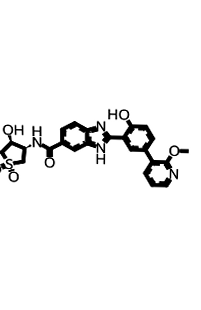 COc1ncccc1-c1ccc(O)c(-c2nc3ccc(C(=O)N[C@@H]4CS(=O)(=O)C[C@H]4O)cc3[nH]2)c1